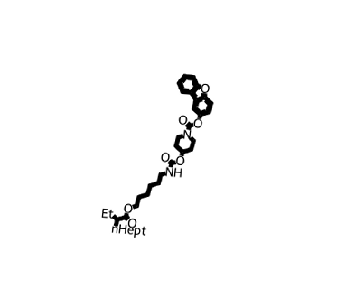 CCCCCCCC(CC)C(=O)OCCCCCCNC(=O)OC1CCN(C(=O)Oc2ccc3oc4ccccc4c3c2)CC1